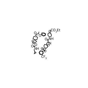 CC(Oc1ccccc1)C(=O)N1CCC2(CC1)CC(OC(=O)NCC1CC1)=NO2.CCOC(=O)ON1CCC(NC(=O)C2=NOC3(CCN(S(=O)(=O)c4cccc(C(F)(F)F)c4)CC3)C2)CC1